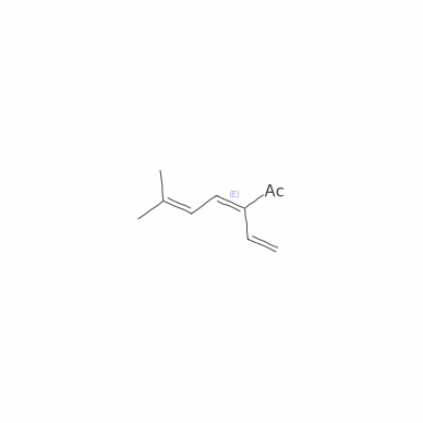 C=C/C(=C\C=C(C)C)C(C)=O